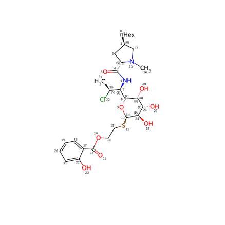 CCCCCC[C@@H]1C[C@@H](C(=O)N[C@@H]([C@H]2O[C@H](SCCOC(=O)c3ccccc3O)[C@H](O)[C@@H](O)[C@H]2O)[C@H](C)Cl)N(C)C1